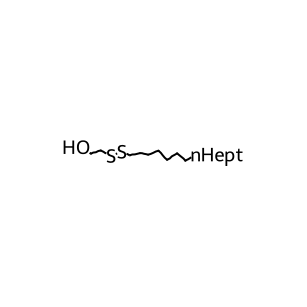 CCCCCCCCCCCCCCSSCCO